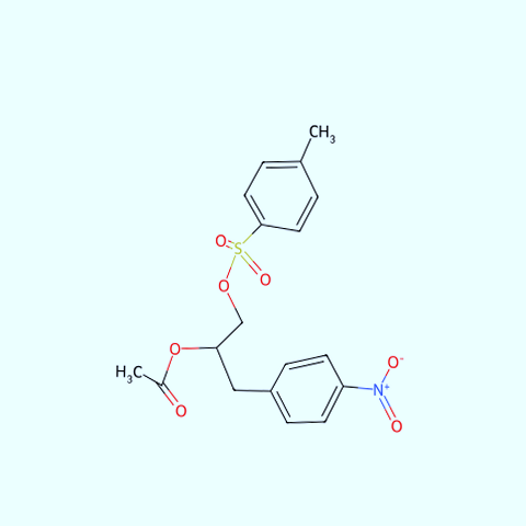 CC(=O)OC(COS(=O)(=O)c1ccc(C)cc1)Cc1ccc([N+](=O)[O-])cc1